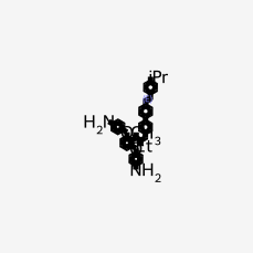 CCC(CC1CCC(C2CCC(/C=C/C3CCC(C(C)C)CC3)CC2)CC1)C(C)c1c(Oc2ccc(N)cc2)cccc1Oc1ccc(N)cc1